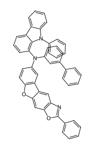 c1ccc(-c2cccc(N(c3ccc4oc5cc6oc(-c7ccccc7)nc6cc5c4c3)c3cccc4c5ccccc5n(-c5ccccc5)c34)c2)cc1